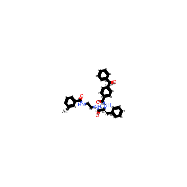 CC(=O)c1cccc(C(=O)NCCNC(=O)[C@H](Cc2ccccc2)NC(=O)c2ccc(C(=O)c3ccccc3)cc2)c1